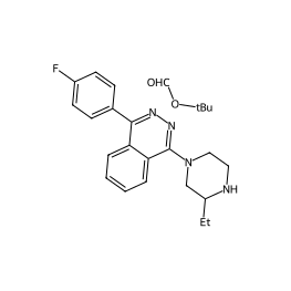 CC(C)(C)OC=O.CCC1CN(c2nnc(-c3ccc(F)cc3)c3ccccc23)CCN1